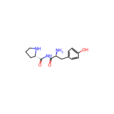 N[C@@H](Cc1ccc(O)cc1)C(=O)NC(=O)[C@@H]1CCCN1